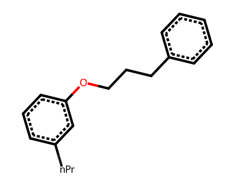 C[CH]Cc1cccc(OCCCc2ccccc2)c1